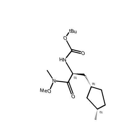 CON(C)C(=O)[C@H](C[C@@H]1CC[C@H](C)C1)NC(=O)OC(C)(C)C